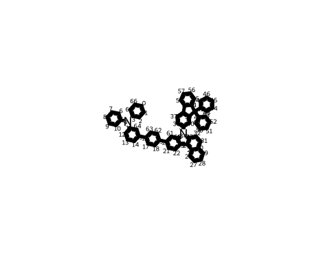 c1ccc(N(c2ccccc2)c2cccc(-c3ccc(-c4ccc5c6c7ccccc7ccc6n(-c6ccc7c(c6)C(c6ccccc6)(c6ccccc6)c6ccccc6-7)c5c4)cc3)c2)cc1